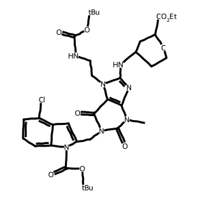 CCOC(=O)C1CCCC(Nc2nc3c(c(=O)n(Cc4cc5c(Cl)cccc5n4C(=O)OC(C)(C)C)c(=O)n3C)n2CCNC(=O)OC(C)(C)C)C1